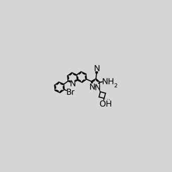 C[C@]1(O)C[C@@H](n2nc(-c3ccc4ccc(-c5ccccc5Br)nc4c3)c(C#N)c2N)C1